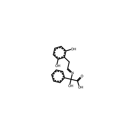 O=C(O)C(O)(N=CCc1c(O)cccc1O)c1ccccc1